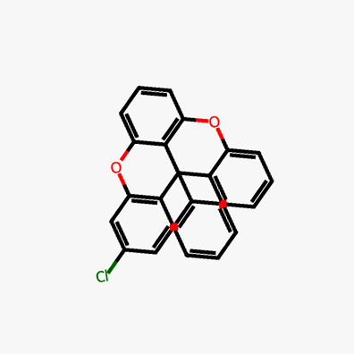 Clc1ccc2c(c1)Oc1cccc3c1C2(c1ccccc1)c1ccccc1O3